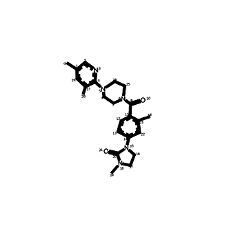 Cc1cnc(N2CCN(C(=O)c3ccc(N4CCN(C)C4=O)cc3C)CC2)c(C)c1